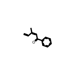 C=CC(C)=CC(=O)c1ccccc1